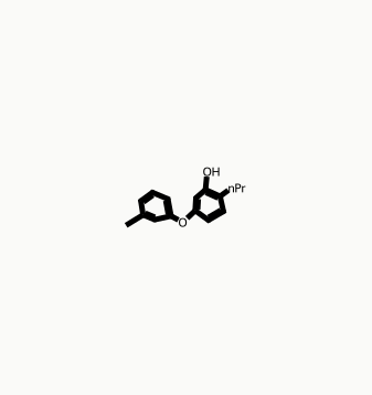 CCCc1ccc(Oc2cccc(C)c2)cc1O